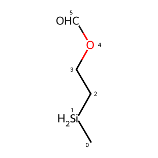 C[SiH2]CCOC=O